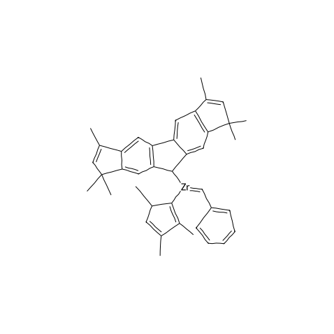 CC1=CC(C)[C]([Zr](=[CH]c2ccccc2)[CH]2c3cc4c(cc3-c3cc5c(cc32)C(C)(C)C=C5C)C(C)=CC4(C)C)=C1C